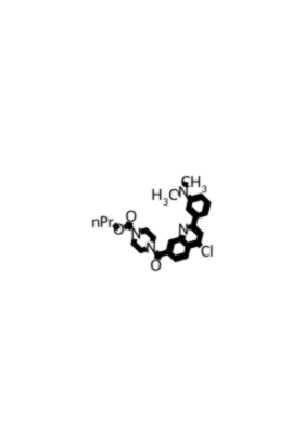 CCCOC(=O)N1CCN(C(=O)c2ccc3c(Cl)cc(-c4cccc(N(C)C)c4)nc3c2)CC1